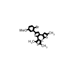 COc1ccc(Br)c(-c2cc(-c3cc(C)sc3C)c(-c3cc(C)sc3C)s2)c1